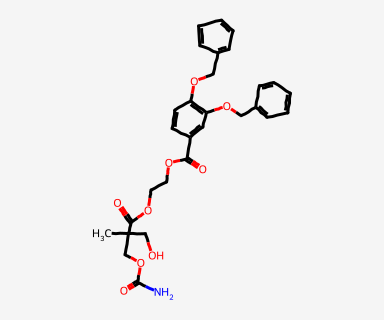 CC(CO)(COC(N)=O)C(=O)OCCOC(=O)c1ccc(OCc2ccccc2)c(OCc2ccccc2)c1